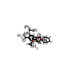 Cc1cc(C(N)=O)c(NC(C(C)C)C(C)C)cc1C(=O)NC1CC2CCC(C1)N2c1ccc(C(=O)C2CC2)cn1